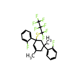 CC1=CC(SC(F)(F)C(F)(F)C(F)(F)F)(c2ccccc2F)CC(C)(c2ccccc2F)[CH]1